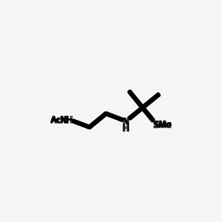 CSC(C)(C)NCCNC(C)=O